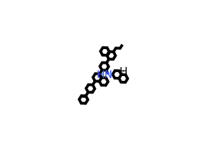 CCCC1CCC(C2CCC(C3=C4CCCCC4C(C4CCC(C5=CCCCC5)CC4)CC3)C(NC3CC[C@H]4CCCCC4C3)C2)C2=C1CCCC2